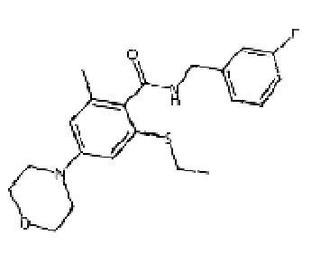 CCSc1cc(N2CCOCC2)cc(C)c1C(=O)NCc1cccc(F)c1